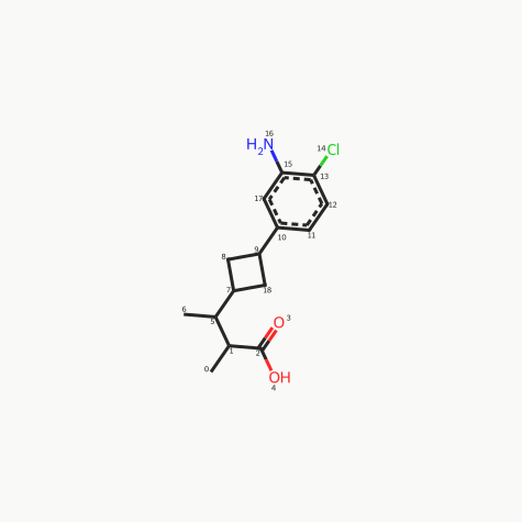 CC(C(=O)O)C(C)C1CC(c2ccc(Cl)c(N)c2)C1